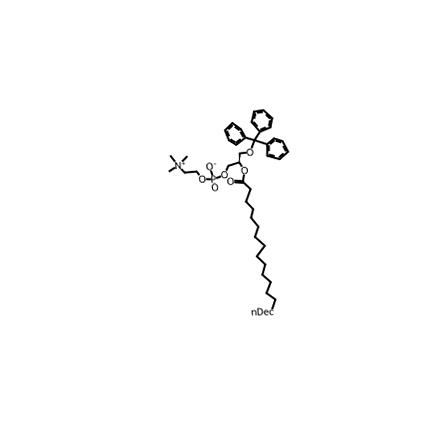 CCCCCCCCCCCCCCCCCCCCCCCC(=O)O[C@H](COC(c1ccccc1)(c1ccccc1)c1ccccc1)COP(=O)([O-])OCC[N+](C)(C)C